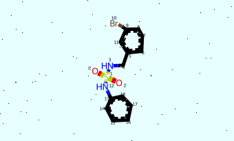 O=S(=O)(NCc1cccc(Br)c1)Nc1ccccc1